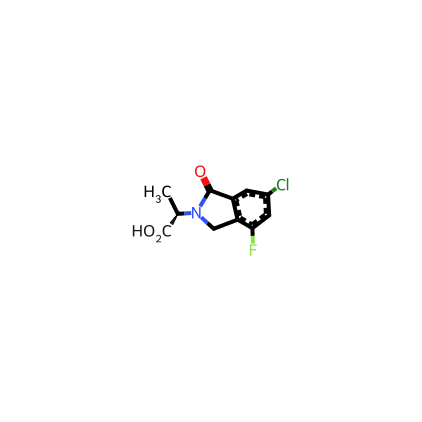 C[C@H](C(=O)O)N1Cc2c(F)cc(Cl)cc2C1=O